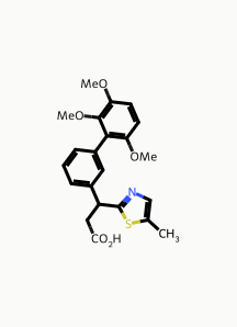 COc1ccc(OC)c(-c2cccc(C(CC(=O)O)c3ncc(C)s3)c2)c1OC